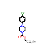 CCOC(=O)COC(=O)N1CCN(c2ccc(Br)cc2)CC1